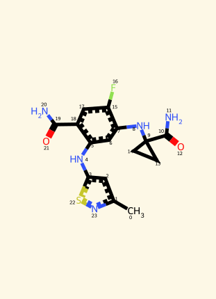 Cc1cc(Nc2cc(NC3(C(N)=O)CC3)c(F)cc2C(N)=O)sn1